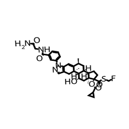 C[C@H]1C[C@@H]2[C@H]([C@@H](O)C[C@@]3(C)[C@H]2CC[C@]3(OC(=O)C2CC2)C(=O)SCF)[C@@]2(C)Cc3cnn(-c4cccc(C(=O)NCC(N)=O)c4)c3C=C12